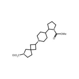 CCOC(=O)N1CCC2(CC(N3CCC(C4CCCN4C(=O)OC)CC3)C2)C1